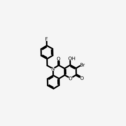 O=c1oc2c(c(O)c1Br)c(=O)n(Cc1ccc(F)cc1)c1ccccc21